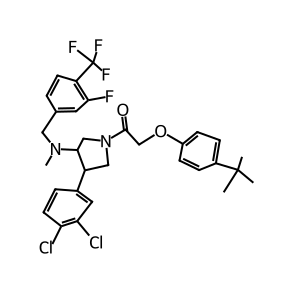 CN(Cc1ccc(C(F)(F)F)c(F)c1)C1CN(C(=O)COc2ccc(C(C)(C)C)cc2)CC1c1ccc(Cl)c(Cl)c1